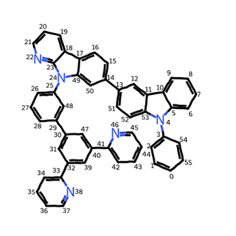 c1ccc(-n2c3ccccc3c3cc(-c4ccc5c6cccnc6n(-c6cccc(-c7cc(-c8ccccn8)cc(-c8ccccn8)c7)c6)c5c4)ccc32)cc1